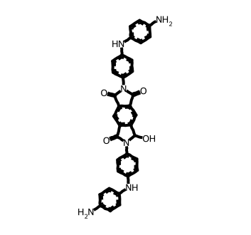 Nc1ccc(Nc2ccc(N3C(=O)c4cc5c(cc4C3=O)C(O)N(c3ccc(Nc4ccc(N)cc4)cc3)C5=O)cc2)cc1